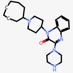 O=c1c(N2CCNCC2)nc2ccccc2n1C1CCN(C2CCCCCCC2)CC1